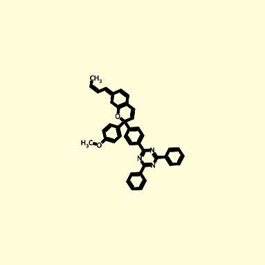 C/C=C\C=C1\C=CC2=C(C1)OC(c1ccc(OC)cc1)(c1ccc(-c3nc(-c4ccccc4)nc(-c4ccccc4)n3)cc1)C=C2